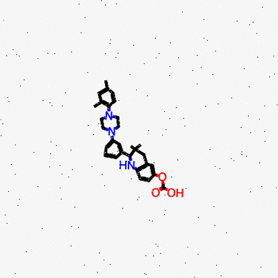 Cc1ccc(N2CCN(c3cccc(C4Nc5ccc(OC(=O)O)cc5CC4(C)C)c3)CC2)c(C)c1